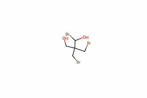 OCC(CBr)(CBr)C(O)Br